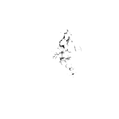 Cc1ncnn2c(C3(O)O[C@H](CO[Si](C)(C)C(C)(C)C)[C@H]4OC(C)(C)O[C@H]43)ccc12